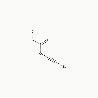 CCC#COC(=O)C[S]